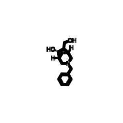 OCC1[C@H]2C[C@H](CN(Cc3ccccc3)C2)[C@@H]1O